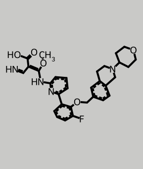 CO/C(Nc1cccc(-c2cccc(F)c2OCc2ccc3c(c2)CCN(C2CCOCC2)C3)n1)=C(/C=N)C(=O)O